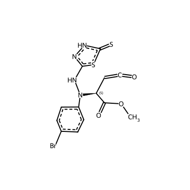 COC(=O)[C@H](C=C=O)N(Nc1n[nH]c(=S)s1)c1ccc(Br)cc1